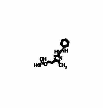 Cc1nc(NNc2ccccc2)sc1CCON(O)O